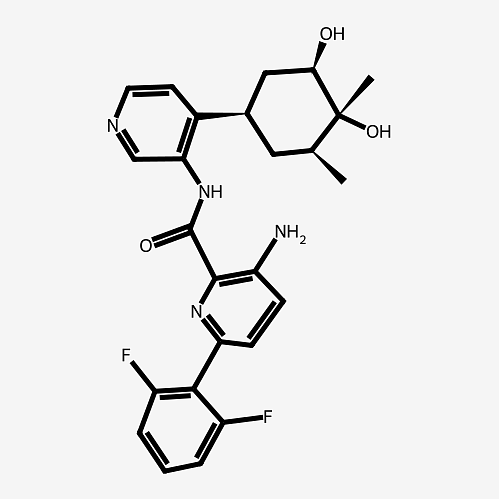 C[C@H]1C[C@@H](c2ccncc2NC(=O)c2nc(-c3c(F)cccc3F)ccc2N)C[C@@H](O)[C@]1(C)O